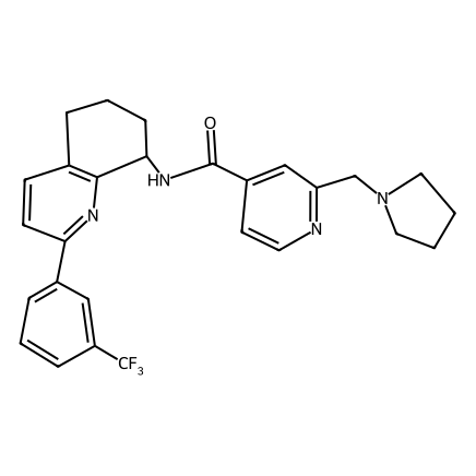 O=C(NC1CCCc2ccc(-c3cccc(C(F)(F)F)c3)nc21)c1ccnc(CN2CCCC2)c1